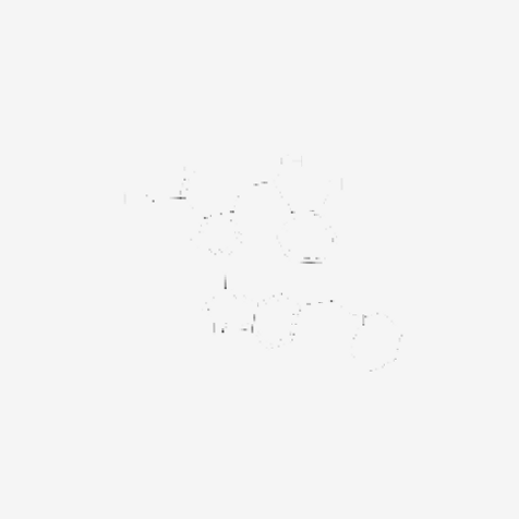 CC(Oc1cc(-c2cnc3ccc(CN4CCCCC4)cn23)sc1C(N)=O)c1ccccc1Cl